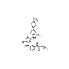 C=CC(=O)Nc1cccc(C(=O)c2nc(Nc3ccc(N4CCN(C)CC4)cc3C)ncc2Cl)c1